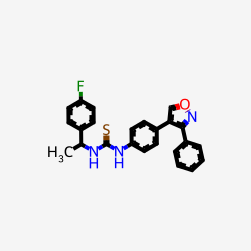 CC(NC(=S)Nc1ccc(-c2conc2-c2ccccc2)cc1)c1ccc(F)cc1